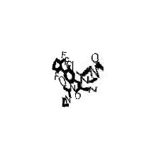 CC(=O)N1CCN(c2c(C#N)c(=O)n3c4c(c(-c5c(F)cccc5C(F)F)c(Cl)cc24)OCC3CN2CCC2)[C@@H](C)C1